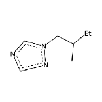 CCC(C)Cn1cncn1